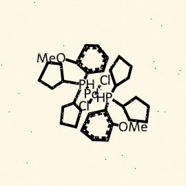 COc1ccccc1[PH](C1CCCC1)(C1CCCC1)[Pd]([Cl])([Cl])[PH](c1ccccc1OC)(C1CCCC1)C1CCCC1